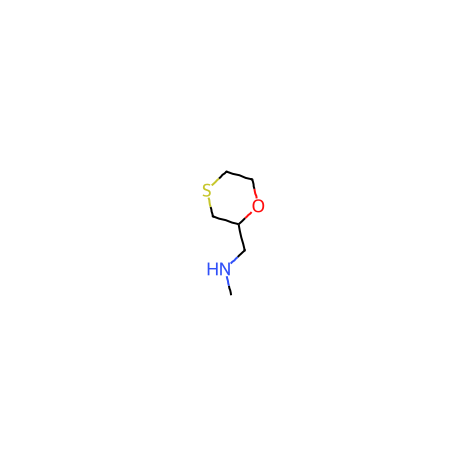 CNCC1CSCCO1